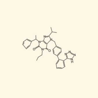 CCCn1c(=O)c2c(nc(C(C)C)n2Cc2ccc(-c3ccccc3-c3nnn[nH]3)cc2)n(C(C)c2ccccc2)c1=O